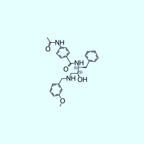 COc1cccc(CNC[C@H](O)[C@H](Cc2ccccc2)NC(=O)c2ccc(NC(C)=O)cc2)c1